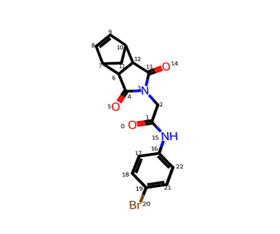 O=C(CN1C(=O)C2C3C=CC(C3)C2C1=O)Nc1ccc(Br)cc1